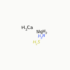 N.S.[CaH2].[MgH2]